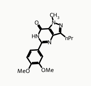 CCCc1nn(C)c2c(=O)[nH]c(-c3ccc(OC)c(OC)c3)nc12